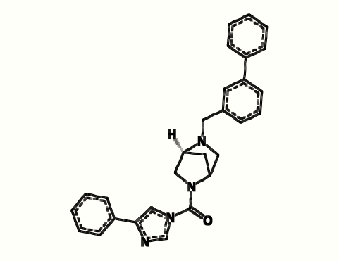 O=C(N1C[C@@H]2CC1CN2Cc1cccc(-c2ccccc2)c1)n1cnc(-c2ccccc2)c1